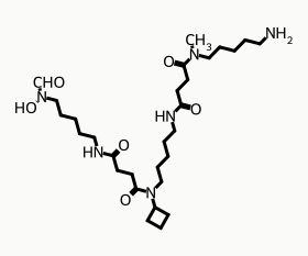 CN(CCCCCN)C(=O)CCC(=O)NCCCCCN(C(=O)CCC(=O)NCCCCCN(O)C=O)C1CCC1